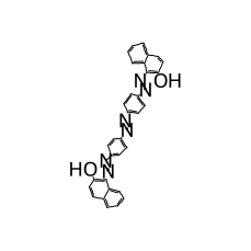 Oc1ccc2ccccc2c1/N=N/c1ccc(/N=N/c2ccc(/N=N/c3c(O)ccc4ccccc34)cc2)cc1